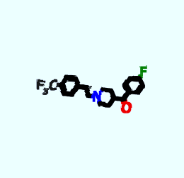 O=C(c1ccc(F)cc1)C1CCN(C[CH]c2ccc(C(F)(F)F)cc2)CC1